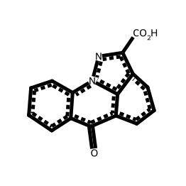 O=C(O)c1nn2c3ccccc3c(=O)c3cccc1c32